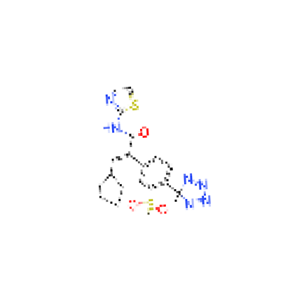 CC1(c2ccc(/C(=C\C3CCCC3)C(=O)Nc3nccs3)cc2S(C)(=O)=O)N=NN=N1